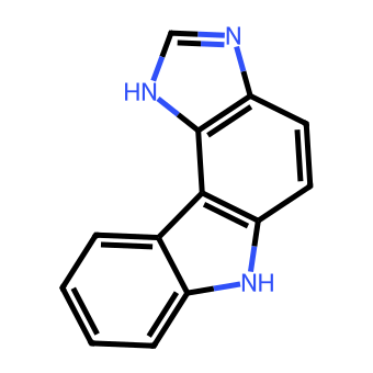 c1ccc2c(c1)[nH]c1ccc3nc[nH]c3c12